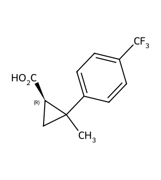 CC1(c2ccc(C(F)(F)F)cc2)C[C@H]1C(=O)O